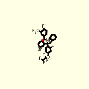 O=C(NC(Cc1ccccc1)(c1cccc(Br)c1)c1ccc(OC(F)(F)C(F)F)cc1F)c1ccc(F)c(C(F)(F)F)c1